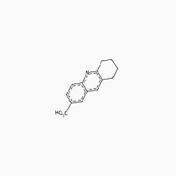 O=C(O)c1ccc2nc3c(cc2c1)CCCC3